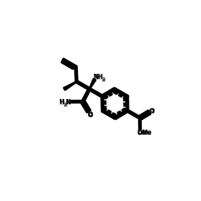 C=C[C@H](C)[C@@](N)(C(N)=O)c1ccc(C(=O)OC)cc1